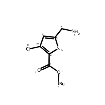 CC(C)(C)OC(=O)c1sc(CN)cc1Cl